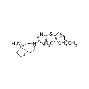 C=C/C=C\C(Sc1cnc(N2CCC3(CCC[C@H]3N)CC2)cn1)=C(C)C